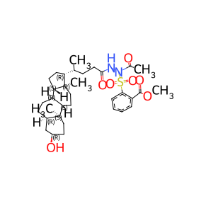 COC(=O)c1ccccc1S(=O)(=O)N(NC(=O)CCC(C)[C@H]1CC[C@H]2[C@@H]3CC[C@@H]4C[C@H](O)CC[C@]4(C)[C@H]3CC[C@]12C)C(C)=O